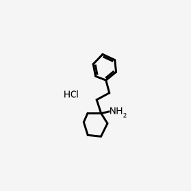 Cl.NC1(CCc2ccccc2)CCCCC1